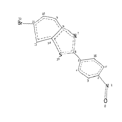 O=Nc1ccc(-c2nc3ccc(Br)cc3s2)cc1